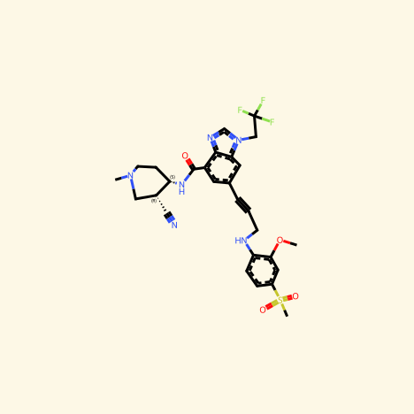 COc1cc(S(C)(=O)=O)ccc1NCC#Cc1cc(C(=O)N[C@H]2CCN(C)C[C@H]2C#N)c2ncn(CC(F)(F)F)c2c1